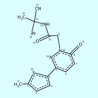 Cc1ccc(-c2ccc(=O)n(CC(=O)NC(C)(C#N)C(C)C)n2)s1